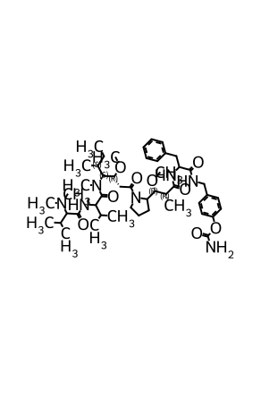 CC[C@H](C)[C@@H]([C@@H](CC(=O)N1CCCC1[C@H](OC)[C@@H](C)C(=O)NC(Cc1ccccc1)C(=O)NCc1ccc(OC(N)=O)cc1)OC)N(C)C(=O)C(NC(=O)C(C(C)C)N(C)C)C(C)C